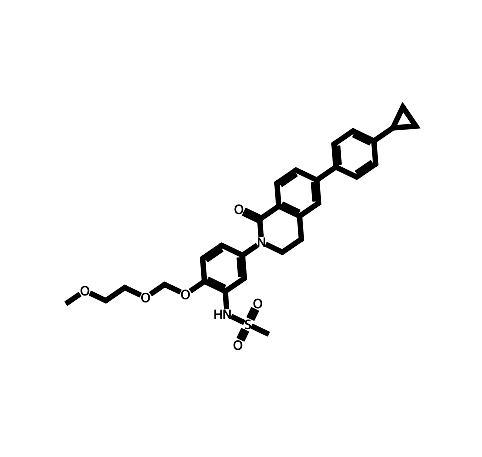 COCCOCOc1ccc(N2CCc3cc(-c4ccc(C5CC5)cc4)ccc3C2=O)cc1NS(C)(=O)=O